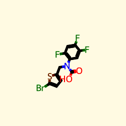 O=C(O)N(Cc1ccc(Br)s1)c1cc(F)c(F)cc1F